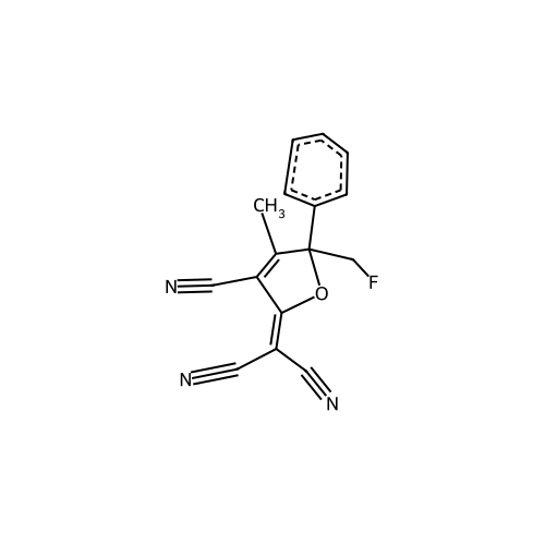 CC1=C(C#N)C(=C(C#N)C#N)OC1(CF)c1ccccc1